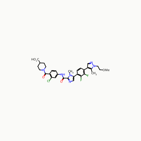 COCCn1ncc(-c2ccc(-c3cnc(C(=O)Nc4ccc(C(=O)N5CCC(C(=O)O)CC5)c(Cl)c4)n3C)c(F)c2F)c1C